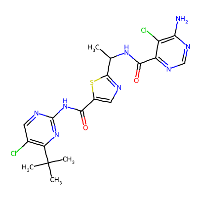 CC(NC(=O)c1ncnc(N)c1Cl)c1ncc(C(=O)Nc2ncc(Cl)c(C(C)(C)C)n2)s1